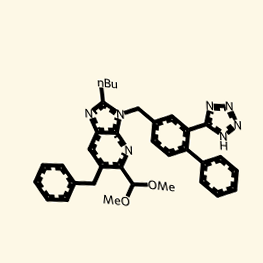 CCCCc1nc2cc(Cc3ccccc3)c(C(OC)OC)nc2n1Cc1ccc(-c2ccccc2)c(-c2nnn[nH]2)c1